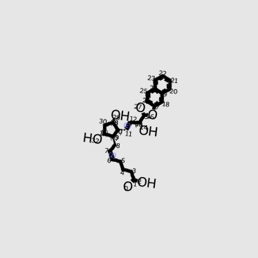 O=C(O)CCC/C=C\C[C@@H]1[C@@H](/C=C/[C@@H](O)C2Oc3cc4ccccc4cc3O2)[C@H](O)C[C@@H]1O